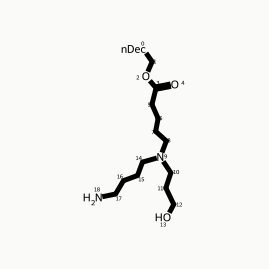 CCCCCCCCCCCOC(=O)CCCCN(CCCO)CCCCN